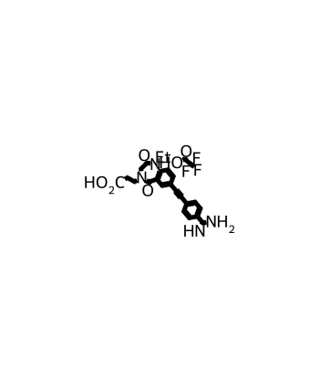 CCN1C(=O)CN(CCC(=O)O)C(=O)c2cc(C#Cc3ccc(C(=N)N)cc3)ccc21.O=C(O)C(F)(F)F